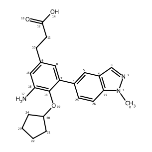 Cn1ncc2cc(-c3cc(CCC(=O)O)cc(N)c3OC3CCCC3)ccc21